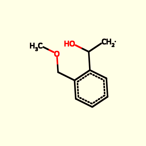 [CH2]C(O)c1ccccc1COC